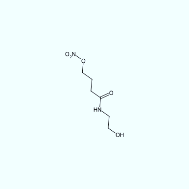 O=C(CCCO[N+](=O)[O-])NCCO